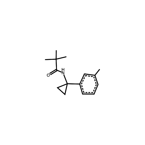 Cc1cccc(C2(NC(=O)C(C)(C)C)CC2)c1